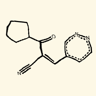 N#CC(=Cc1ccnnc1)C(=O)C1CCCC1